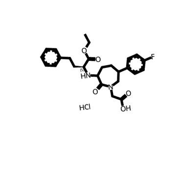 CCOC(=O)[C@H](CCc1ccccc1)NC1CCC(c2ccc(F)cc2)CN(CC(=O)O)C1=O.Cl